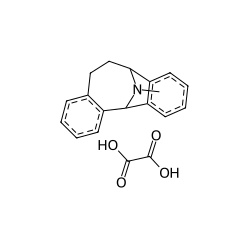 CN1C2CCc3ccccc3C1c1ccccc12.O=C(O)C(=O)O